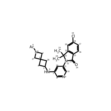 CC(=O)N1CC2(CC(Nc3cncc(N4C(=O)c5ccc(Cl)cc5C4(C)C)c3)C2)C1